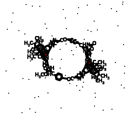 CN[C@@H](C)C(=O)N[C@H](C(=O)N1CC[C@@H]2[C@H]1C(=O)N[C@@H](Cc1ccc3ccccc3c1)C(=O)N[C@H](C(=O)OC)Cc1ccc(cc1)OCc1cn(nn1)[C@@H]1CCN(C(=O)[C@@H](NC(=O)[C@H](C)NC)C(C)(C)C)[C@@H]1C(=O)N[C@@H](Cc1ccc3ccccc3c1)C(=O)N[C@H](c1nc(=O)o[nH]1)Cc1ccc(cc1)OCc1cn2nn1)C(C)(C)C